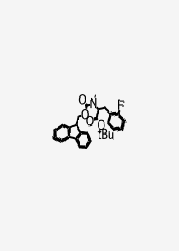 CN(C(=O)OCC1c2ccccc2-c2ccccc21)C(Cc1ccccc1F)C(=O)OC(C)(C)C